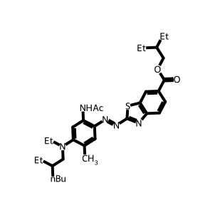 CCCCC(CC)CN(CC)c1cc(NC(C)=O)c(N=Nc2nc3ccc(C(=O)OCC(CC)CC)cc3s2)cc1C